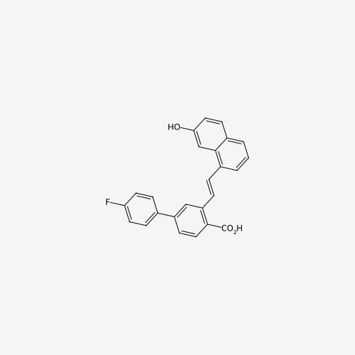 O=C(O)c1ccc(-c2ccc(F)cc2)cc1C=Cc1cccc2ccc(O)cc12